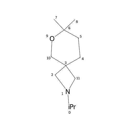 CC(C)N1CC2(CCC(C)(C)OC2)C1